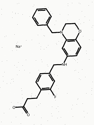 O=C([O-])CCc1ccc(CNc2ccc3c(c2)N(Cc2ccccc2)CCO3)cc1F.[Na+]